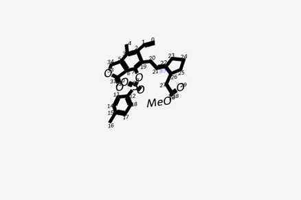 C=Cc1c(C)c2c(c(OS(=O)(=O)c3ccc(C)cc3)c1C/C=C1\CCCC1CC(=O)OC)C(=O)OC2